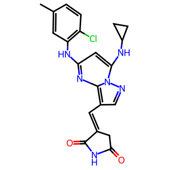 Cc1ccc(Cl)c(Nc2cc(NC3CC3)n3ncc(C=C4CC(=O)NC4=O)c3n2)c1